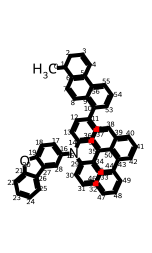 CC1CC=Cc2c1ccc1c(-c3ccc(N(c4ccc5oc6ccccc6c5c4)c4ccccc4-c4cccc5cccc(-c6ccccc6)c45)cc3)cccc21